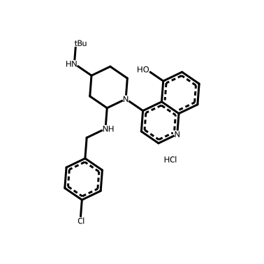 CC(C)(C)NC1CCN(c2ccnc3cccc(O)c23)C(NCc2ccc(Cl)cc2)C1.Cl